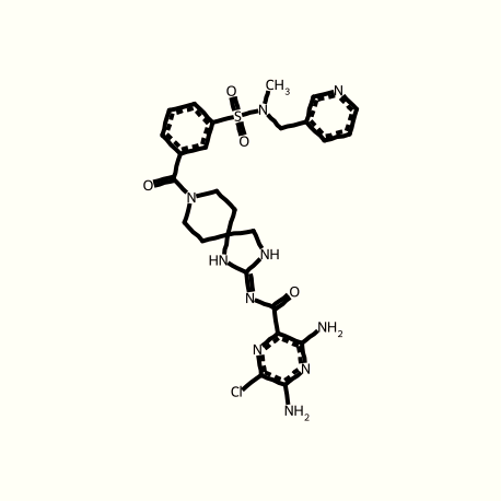 CN(Cc1cccnc1)S(=O)(=O)c1cccc(C(=O)N2CCC3(CC2)CN/C(=N\C(=O)c2nc(Cl)c(N)nc2N)N3)c1